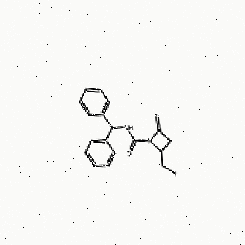 O=C1CC(CF)N1C(=O)NC(c1ccccc1)c1ccccc1